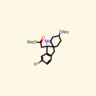 COC(=O)C[C@]1(N)c2cc(Br)ccc2CC12CCC(OC)CC2